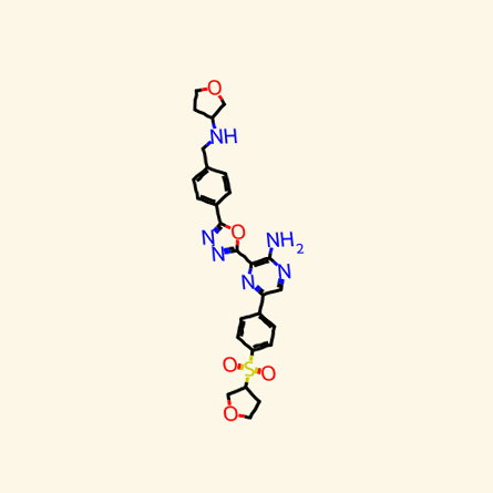 Nc1ncc(-c2ccc(S(=O)(=O)C3CCOC3)cc2)nc1-c1nnc(-c2ccc(CNC3CCOC3)cc2)o1